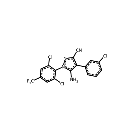 N#Cc1nn(-c2c(Cl)cc(C(F)(F)F)cc2Cl)c(N)c1-c1cccc(Cl)c1